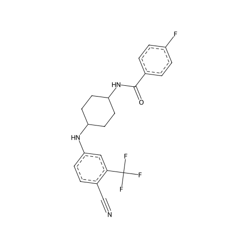 N#Cc1ccc(NC2CCC(NC(=O)c3ccc(F)cc3)CC2)cc1C(F)(F)F